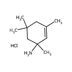 CC1=CC(C)(N)CC(C)(C)C1.Cl